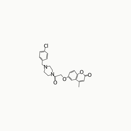 Cc1cc(=O)oc2ccc(OCC(=O)N3CCN(Cc4ccc(Cl)cc4)CC3)cc12